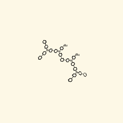 CCC(C)c1ccc(N(c2ccc(-c3ccc(N(c4ccc(-c5ccccc5)cc4)c4ccc(-c5ccccc5)cc4)cc3)cc2)c2ccc(-c3cccc(-c4ccc(N(c5ccc(-c6ccc(N(c7ccc(-c8ccccc8)cc7)c7ccc(C8C=CC=CC8)cc7)cc6)cc5)c5ccc(C(C)CC)cc5)cc4)c3)cc2)cc1